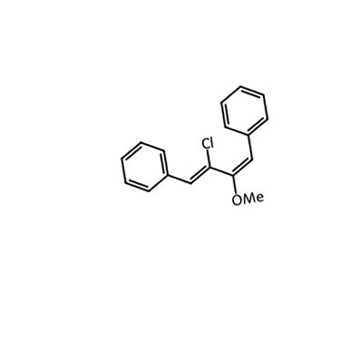 COC(=Cc1ccccc1)C(Cl)=Cc1ccccc1